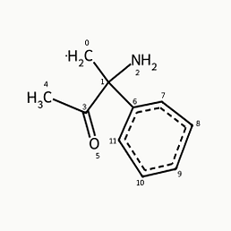 [CH2]C(N)(C(C)=O)c1ccccc1